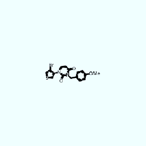 COc1ccc(Cn2c(=O)ccn(-c3cscc3Br)c2=O)cc1